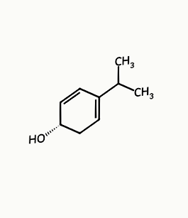 CC(C)C1=CC[C@H](O)C=C1